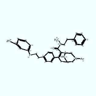 CC(=O)N1CC2CC(c3ccc(CCOc4cccc(C(C)C)c4)cc3)=C(C(=O)N(C)CCc3ccccc3)C(C1)N2